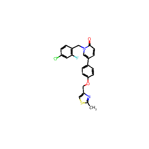 Cc1nc(COc2ccc(-c3ccc(=O)n(Cc4ccc(Cl)cc4F)c3)cc2)cs1